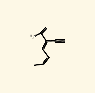 C#C/C(=C\C=C/C)C(=C)N